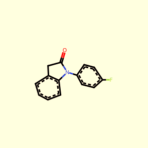 O=C1Cc2ccccc2N1c1ccc(F)cc1